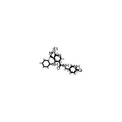 CCn1ncc2c(NC3CCCCC3)c(C(=O)NCc3ccc(=O)[nH]c3)cnc21